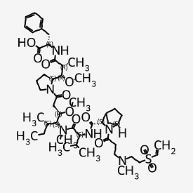 C=CS(=O)(=O)CCN(C)CCC(=O)N1[C@H]2CCC(C2)[C@H]1C(=O)N[C@H](C(=O)N(C)[C@@H]([C@@H](C)CC)[C@@H](CC(=O)N1CCC[C@H]1[C@H](OC)[C@@H](C)C(=O)N[C@@H](Cc1ccccc1)C(=O)O)OC)C(C)C